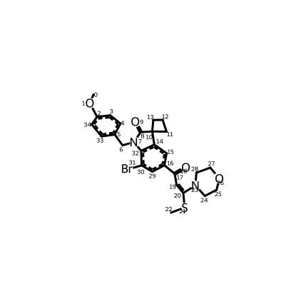 COc1ccc(CN2C(=O)C3(CCC3)c3cc(C(=O)/C=C(/SC)N4CCOCC4)cc(Br)c32)cc1